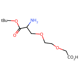 CC(C)(C)OC(=O)C(N)COCCOCC(=O)O